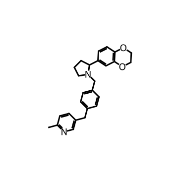 Cc1ccc(Cc2ccc(CN3CCCC3c3ccc4c(c3)OCCO4)cc2)cn1